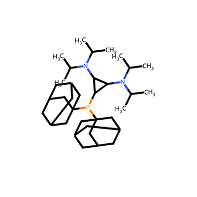 CC(C)N(C(C)C)C1C(N(C(C)C)C(C)C)C1P(C12CC3CC(CC(C3)C1)C2)C12CC3CC(CC(C3)C1)C2